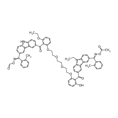 CCOc1cccc(OCCOCCOCCOc2cccc(O)c2C(=O)c2ccc3c(c2)c2cc(/C(=N/OC(C)=O)c4ccccc4C)ccc2n3CC)c1C(=O)c1ccc2[nH]c3ccc(/C(=N/OC=O)c4ccccc4C)cc3c2c1